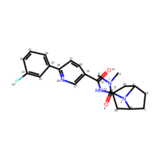 CN(C)C(=O)N1C2CCC1CC(NC(=O)c1ccc(-c3cccc(F)c3)nc1)C2